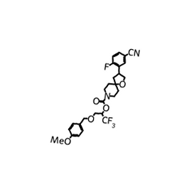 COc1ccc(COCC(OC(=O)N2CCC3(CC2)CC(c2cc(C#N)ccc2F)CO3)C(F)(F)F)cc1